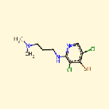 CN(C)CCCNc1ncc(Cl)c(S)c1Cl